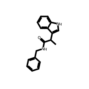 CC(C(=O)NCc1ccccc1)c1c[nH]c2ccccc12